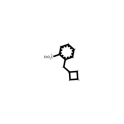 CCOC(=O)c1ccc[c]c1CC1CCC1